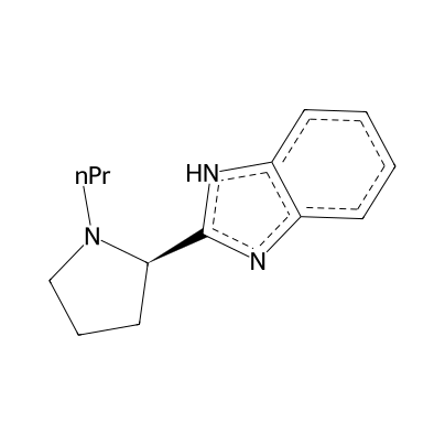 CCCN1CCC[C@@H]1c1nc2ccccc2[nH]1